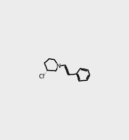 Cl[C@@H]1CCCN(C=Cc2ccccc2)C1